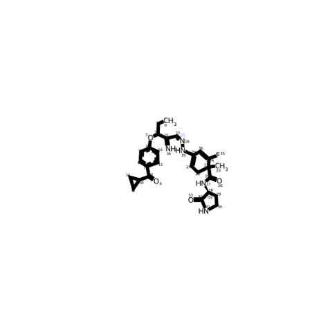 CCC(Oc1ccc(C(=O)C2CC2)cc1)C(=N)/C=N\NC1=CCC(C)(C(=O)N[C@H]2CCNC2=O)C(F)=C1